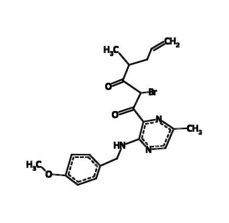 C=CCC(C)C(=O)C(Br)C(=O)c1nc(C)cnc1NCc1ccc(OC)cc1